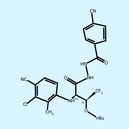 CCCCO[C@@H]([C@@H](Nc1ccc(C#N)c(Cl)c1C)C(=O)NNC(=O)c1ccc(C#N)cc1)C(F)(F)F